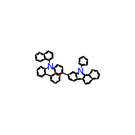 c1ccc(-c2ccccc2N(c2ccc(-c3ccc4c5ccc6ccccc6c5n(-c5ccccc5)c4c3)cc2)c2cccc3ccccc23)cc1